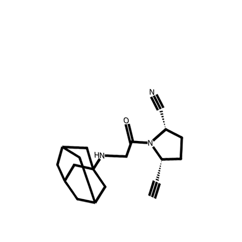 C#C[C@H]1CC[C@@H](C#N)N1C(=O)CNC12CC3CC(CC(C3)C1)C2